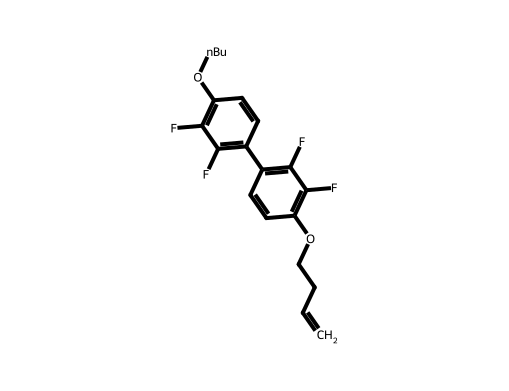 C=CCCOc1ccc(-c2ccc(OCCCC)c(F)c2F)c(F)c1F